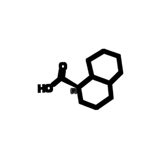 O=C(O)[C@@H]1CCCC2CCCCC21